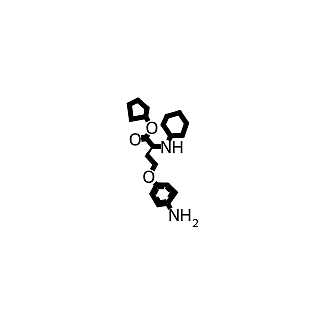 Nc1ccc(OCC[C@H](NC2CCCCC2)C(=O)OC2CCCC2)cc1